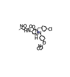 Cc1cc(C(=O)Nc2c[nH]/c(=N\c3ccc(Oc4ccon4)cc3)n(Cc3ccc(Cl)cc3)c2=O)on1